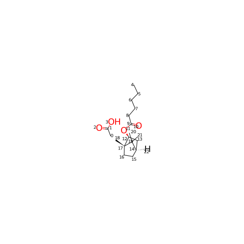 CC(=O)O.CCCCCC(=O)O[C@H]1C[C@H]2CC[C@@]1(C)C2(C)C